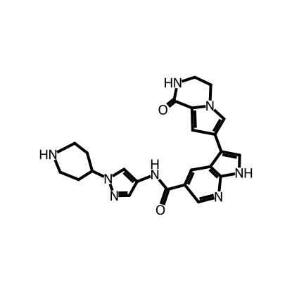 O=C(Nc1cnn(C2CCNCC2)c1)c1cnc2[nH]cc(-c3cc4n(c3)CCNC4=O)c2c1